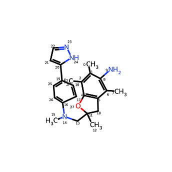 Cc1c(C)c2c(c(C)c1N)CC(C)(CN(C)c1ccc(-c3ccn[nH]3)cc1)O2